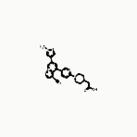 Cn1cc(-c2cc(-c3ccc(N4CCC(CC(=O)O)CC4)nc3)c3c(C#N)cnn3c2)cn1